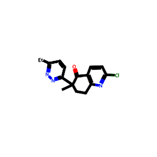 CCc1ccc(C2(C)CCc3nc(Cl)ccc3C2=O)nn1